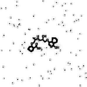 CC(COc1ccccc1C(N)=O)NCC(O)COc1cnc(O)c2ccccc12